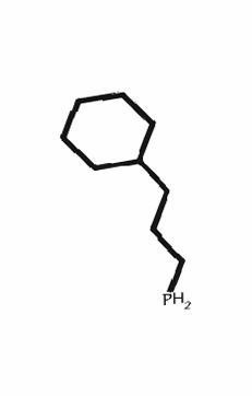 PCCCC1CCCCC1